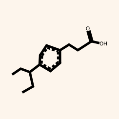 CCC(CC)c1ccc(CCC(=O)O)cc1